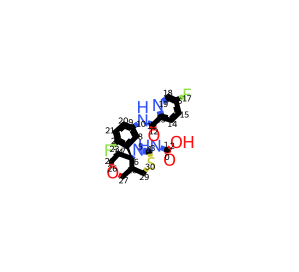 O=C(O)NC1=N[C@@]2(c3cc(NC(=O)c4ccc(F)cn4)ccc3F)CCOCC2CS1